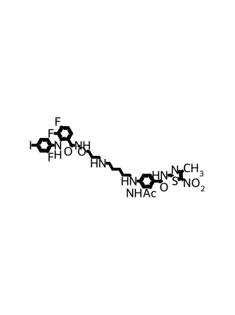 CC(=O)Nc1cc(NCCCCCNCCCONC(=O)c2ccc(F)c(F)c2Nc2ccc(I)cc2F)ccc1C(=O)Nc1nc(C)c([N+](=O)[O-])s1